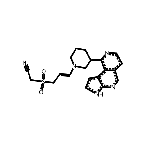 N#CCS(=O)(=O)CC=CN1CCCC(c2nccc3cnc4[nH]ccc4c23)C1